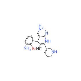 C/N=C1/NC(C2=CCCNC2)=C(C#N)C(c2cccc(N)c2Br)/C1=C/N